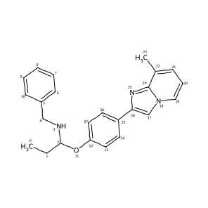 CCC(NCc1ccccc1)Oc1ccc(-c2cn3cccc(C)c3n2)cc1